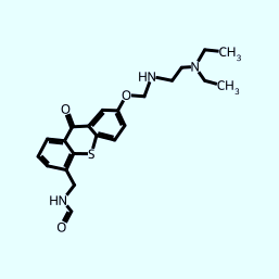 CCN(CC)CCNCOc1ccc2sc3c(CNC=O)cccc3c(=O)c2c1